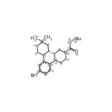 CC1(C)CCC(c2cc(Br)ccc2N2CCN(C(=O)OC(C)(C)C)CC2)CC1